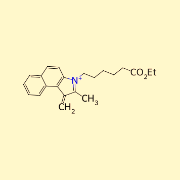 C=C1C(C)=[N+](CCCCCC(=O)OCC)c2ccc3ccccc3c21